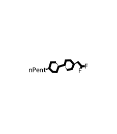 CCCCC[C@H]1CC[C@H]([C@H]2CC[C@H](CC(F)F)CC2)CC1